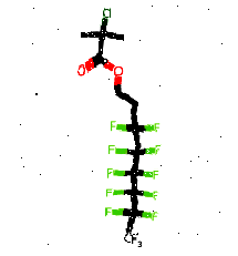 CC(C)(Cl)C(=O)OCCC(F)(F)C(F)(F)C(F)(F)C(F)(F)C(F)(F)C(F)(F)F